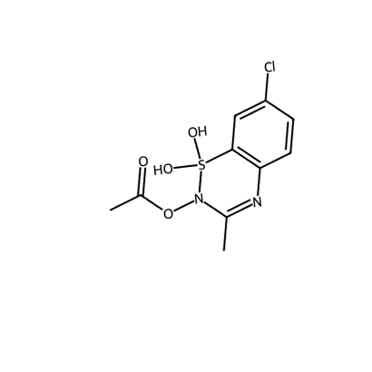 CC(=O)ON1C(C)=Nc2ccc(Cl)cc2S1(O)O